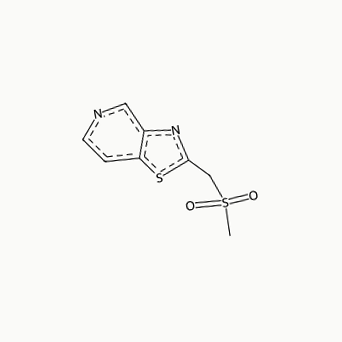 CS(=O)(=O)Cc1nc2cnccc2s1